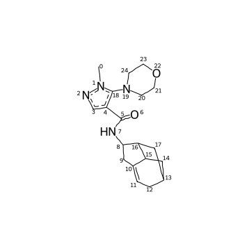 Cn1ncc(C(=O)NC2CC3=CCC4CC3C2C4)c1N1CCOCC1